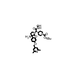 Cc1cc(COc2ccc(C3(N)CCN([C@@H](C(=O)NO)C4CCN(C(=O)OC(C)(C)C)CC4)C3=O)cc2)cc(C)n1